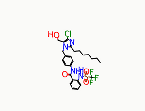 CCCCCCCc1nc(Cl)c(CO)n1Cc1ccc(NC(=O)c2ccccc2NS(=O)(=O)C(F)(F)F)cc1